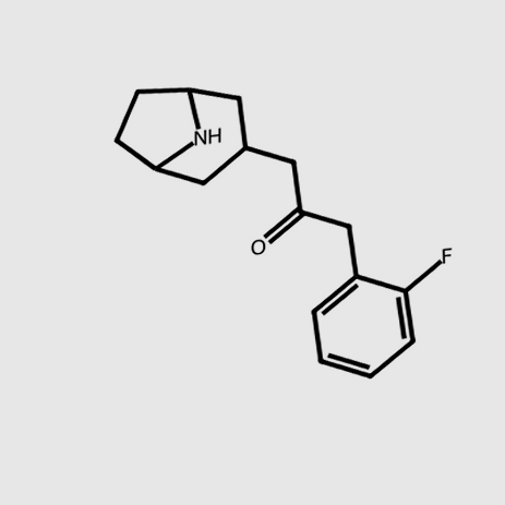 O=C(Cc1ccccc1F)CC1CC2CCC(C1)N2